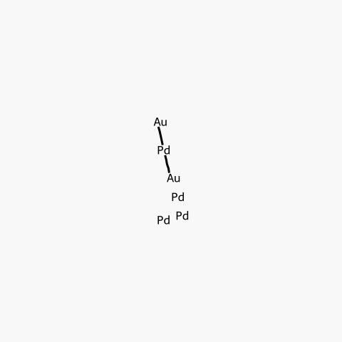 [Au][Pd][Au].[Pd].[Pd].[Pd]